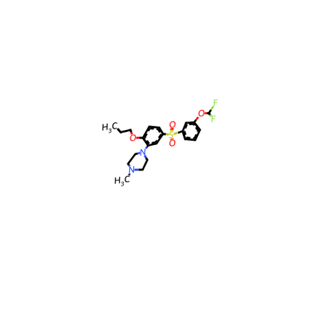 CCCOc1ccc(S(=O)(=O)c2cccc(OC(F)F)c2)cc1N1CCN(C)CC1